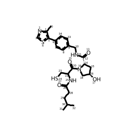 Cc1ncsc1-c1ccc(CNC(=O)[C@@H]2C[C@@H](O)CN2C(=O)C(CS)NC(=O)CCC(C)C)cc1